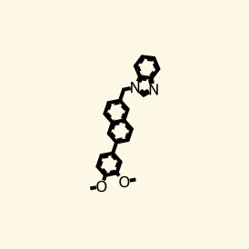 COc1ccc(-c2ccc3cc(Cn4cnc5ccccc54)ccc3c2)cc1OC